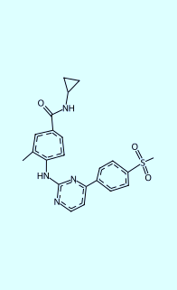 Cc1cc(C(=O)NC2CC2)ccc1Nc1nccc(-c2ccc(S(C)(=O)=O)cc2)n1